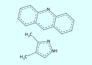 Cc1c[nH]nc1C.c1ccc2nc3ccccc3cc2c1